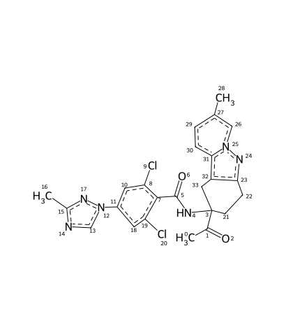 CC(=O)C1(NC(=O)c2c(Cl)cc(-n3cnc(C)n3)cc2Cl)CCc2nn3cc(C)ccc3c2C1